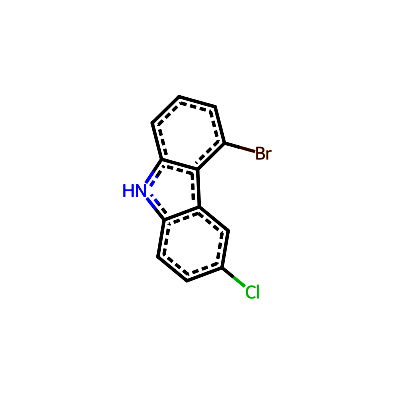 Clc1ccc2[nH]c3cccc(Br)c3c2c1